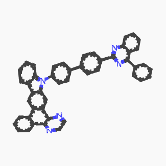 c1ccc(-c2nc(-c3ccc(-c4ccc(-n5c6ccccc6c6cc7c8ccccc8c8nccnc8c7cc65)cc4)cc3)nc3ccccc23)cc1